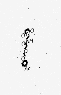 CC(=O)c1ccc(OCCOCCC(=O)NCCN2C(=O)C=CC2=O)cc1